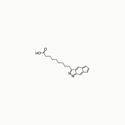 O=C(O)CCCCCCCCC1=NN=c2cc3c(cc21)=CC=C3